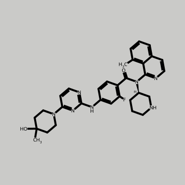 Cc1cccc2ccnc(N(C(=O)c3ccc(Nc4nccc(N5CCC(C)(O)CC5)n4)cc3F)[C@@H]3CCCNC3)c12